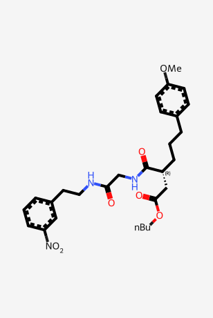 CCCCOC(=O)C[C@@H](CCCc1ccc(OC)cc1)C(=O)NCC(=O)NCCc1cccc([N+](=O)[O-])c1